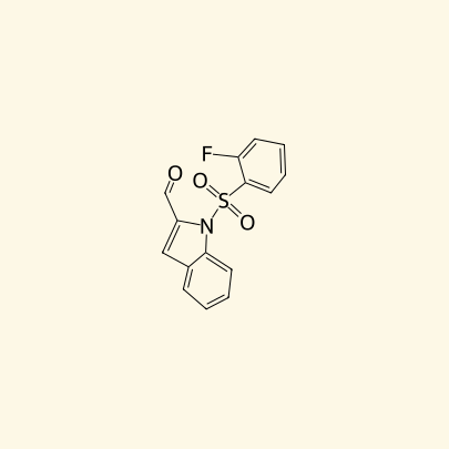 O=Cc1cc2ccccc2n1S(=O)(=O)c1ccccc1F